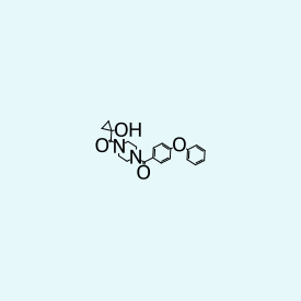 O=C(c1ccc(Oc2ccccc2)cc1)N1CCN(C(=O)C2(O)CC2)CC1